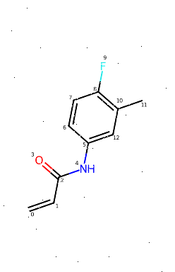 C=CC(=O)Nc1ccc(F)c(C)c1